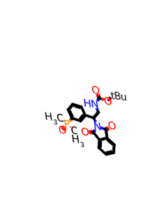 CC(C)(C)OC(=O)NCC(c1cccc(P(C)(C)=O)c1)N1C(=O)c2ccccc2C1=O